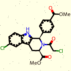 COC(=O)c1ccc([C@@H]2c3[nH]c4ccc(Cl)cc4c3C[C@H](C(=O)OC)N2C(=O)CCl)cc1